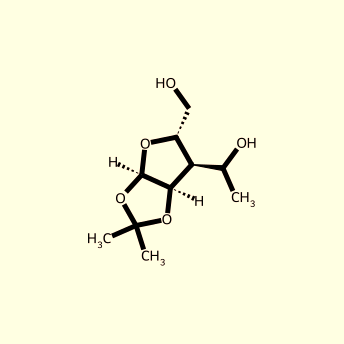 CC(O)[C@H]1[C@H]2OC(C)(C)O[C@H]2O[C@@H]1CO